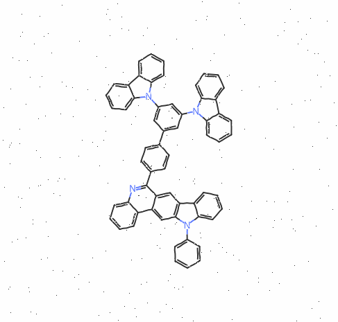 c1ccc(-n2c3ccccc3c3cc4c(-c5ccc(-c6cc(-n7c8ccccc8c8ccccc87)cc(-n7c8ccccc8c8ccccc87)c6)cc5)nc5ccccc5c4cc32)cc1